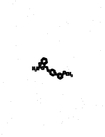 COc1cccc(N2CCN(CCC(OC(N)=O)c3ccccc3)CC2)c1